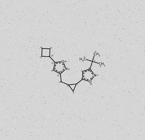 CC(C)(C)c1cc(C2CC2Cc2cc(C3CCC3)on2)on1